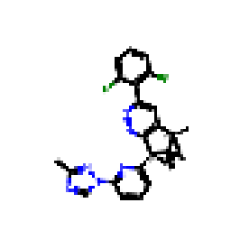 Cc1ncn(-c2cccc([C@@]34CC[C@@H](c5cc(-c6c(F)cccc6F)nnc53)C4(C)C)n2)n1